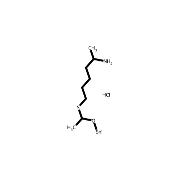 CC(N)CCCCSC(C)[O][Sn].Cl